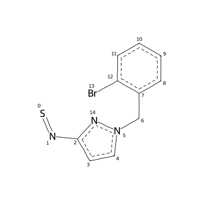 S=Nc1ccn(Cc2ccccc2Br)n1